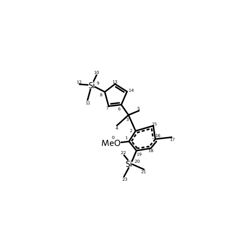 COc1c(C(C)(C)C2=CC([Si](C)(C)C)C=C2)cc(C)cc1[Si](C)(C)C